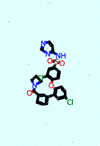 O=C(c1cccc(-c2cc(Cl)ccc2Oc2ccc(S(=O)(=O)Nc3ccncn3)cc2Cl)c1)N1CCC1